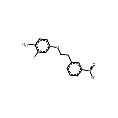 Bc1ccc(OCCc2cccc([N+](=O)[O-])c2)cc1F